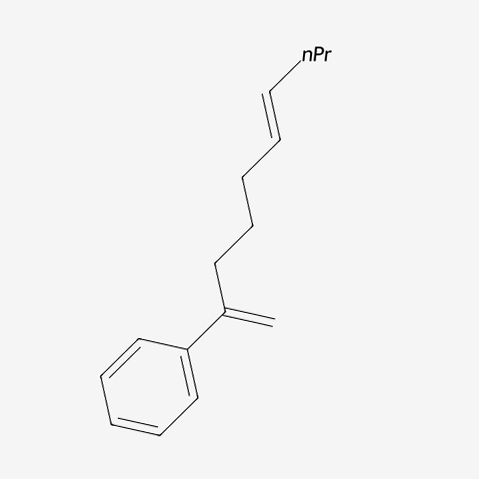 C=C(CCCC=CCCC)c1ccccc1